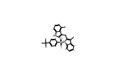 Cc1c(Cc2c[nH]c3cccc(C)c23)n(S(=O)(=O)c2ccc(C(C)(C)C)cc2)c2ccccc12